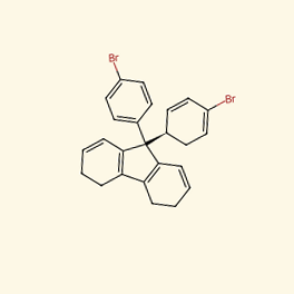 BrC1=CC[C@@H](C2(c3ccc(Br)cc3)C3=C(CCC=C3)C3=C2C=CCC3)C=C1